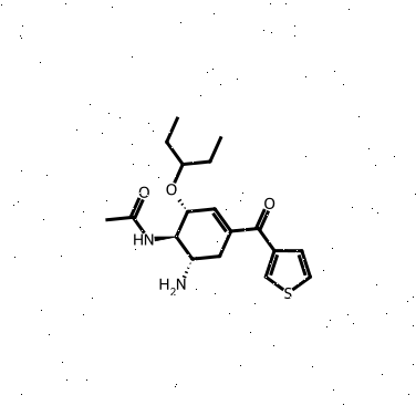 CCC(CC)O[C@@H]1C=C(C(=O)c2ccsc2)C[C@H](N)[C@H]1NC(C)=O